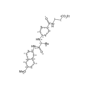 CCOC(=O)CCNC(=O)c1ccc(NC(C(=O)Nc2ccc3cc(OC)ccc3c2)C(C)CC)cc1